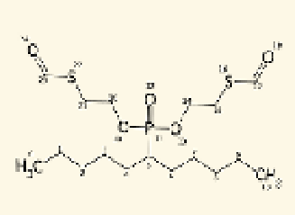 CCCCCC(CCCCC)P(=O)(OCCSC=O)OCCSC=O